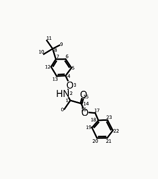 CC(NOc1ccc(C(C)(C)C)cc1)C(=O)OCc1ccccc1